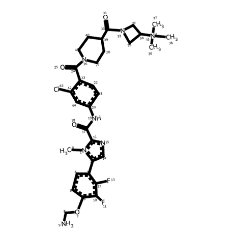 Cn1c(-c2ccc(OCN)c(F)c2F)cnc1C(=O)Nc1ccc(C(=O)N2CCC(C(=O)N3CC([N+](C)(C)C)C3)CC2)c(Cl)c1